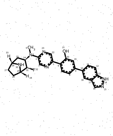 CN(c1cnc(-c2ccc(-c3ccc4[nH]ncc4c3)cc2O)cn1)[C@@H]1C[C@H]2CC[C@H](N2)[C@@H]1F